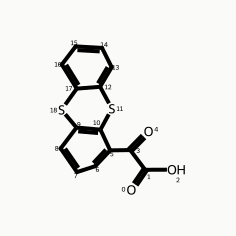 O=C(O)C(=O)c1cccc2c1Sc1ccccc1S2